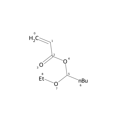 C=CC(=O)OC(CCCC)OCC